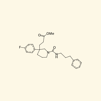 COC(=O)CCC1(c2ccc(F)cc2)CCCN(C(=O)NCCCc2ccccc2)C1